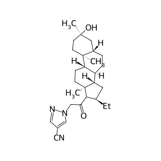 CC[C@@H]1C[C@H]2[C@@H]3CC[C@H]4C[C@](C)(O)CC[C@]4(C)[C@H]3CC[C@]2(C)C1C(=O)Cn1cc(C#N)cn1